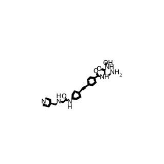 NC[C@H](NC(=O)c1ccc(C#Cc2ccc(NC(=O)CNCc3ccncc3)cc2)cc1)C(=O)NO